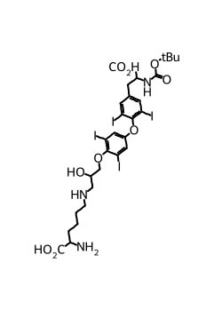 CC(C)(C)OC(=O)NC(Cc1cc(I)c(Oc2cc(I)c(OCC(O)CNCCCCC(N)C(=O)O)c(I)c2)c(I)c1)C(=O)O